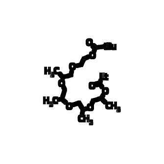 CCC(=O)OC(C)COC(C)COC(C)COC(C)COCCOC(=O)C(C)(C)C